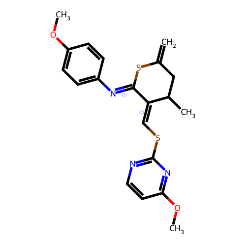 C=C1CC(C)C(=C\Sc2nccc(OC)n2)/C(=N/c2ccc(OC)cc2)S1